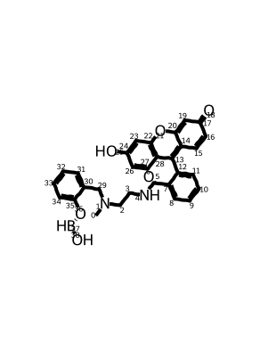 CN(CCNC(=O)c1ccccc1-c1c2ccc(=O)cc-2oc2cc(O)ccc12)Cc1ccccc1OBO